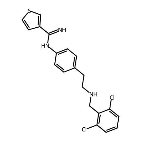 N=C(Nc1ccc(CCNCc2c(Cl)cccc2Cl)cc1)c1ccsc1